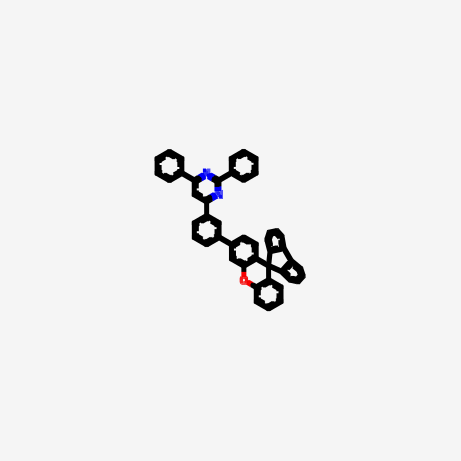 c1ccc(-c2cc(-c3cccc(-c4ccc5c(c4)Oc4ccccc4C54c5ccccc5-c5ccccc54)c3)nc(-c3ccccc3)n2)cc1